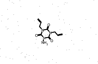 C=CCn1c(=O)n(N)c(=O)n(CC=C)c1=O